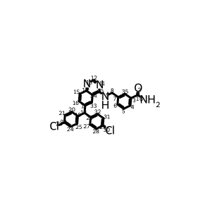 NC(=O)c1cccc(CNc2ncnc3ccc(C(c4ccc(Cl)cc4)c4ccc(Cl)cc4)cc23)c1